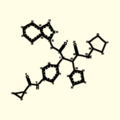 O=C(Nc1ccc(N(C(=O)Cn2nnc3ccccc32)C(C(=O)NC2CCCC2)c2ccsc2)cc1)C1CC1